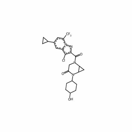 O=C(c1nn2c(C(F)(F)F)cc(C3CC3)cc2c1Cl)N1CC(=O)N(C2CCC(O)CC2)C2CC21